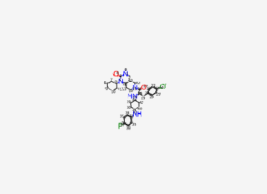 CN(C)C(=O)N(C1CCCCC1)C1CCN(C(=O)[C@@H](Cc2ccc(Cl)cc2)N[C@H]2CC[C@@H](Nc3ccc(F)cc3)CC2)CC1